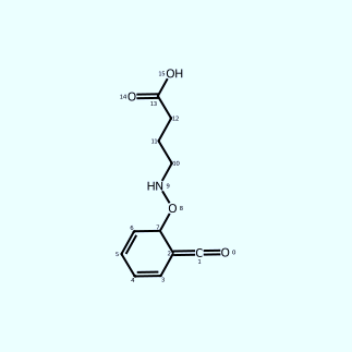 O=C=C1C=CC=CC1ONCCCC(=O)O